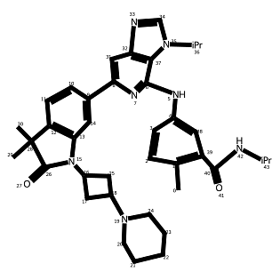 Cc1ccc(Nc2nc(-c3ccc4c(c3)N(C3CC(N5CCCCC5)C3)C(=O)C4(C)C)cc3ncn(C(C)C)c23)cc1C(=O)NC(C)C